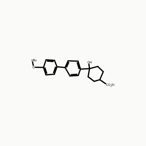 CCCCOc1ccc(-c2ccc(C3(O)CCC(C(=O)OCC)CC3)cc2)cc1